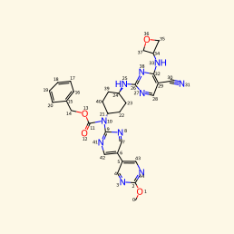 COc1ncc(-c2cnc(N(C(=O)OCc3ccccc3)[C@H]3CC[C@H](Nc4ncc(C#N)c(NC5COC5)n4)CC3)nc2)cn1